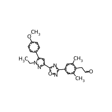 CCn1nc(-c2nc(-c3cc(C)c(CC=O)c(C)c3)no2)cc1-c1ccc(OC)cc1